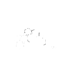 COC(=O)CC(C)(C)C(=O)Oc1c2n(ccc1=O)NC1C(C)CCCN1C2=O